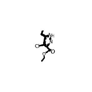 CCOC(=O)c1n[nH]c(CC)c1Cl